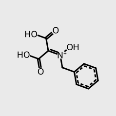 O=C(O)C(C(=O)O)=[N+](O)Cc1ccccc1